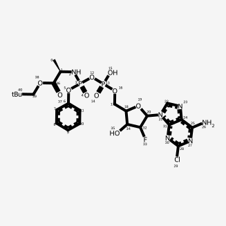 C[C@@H](NP(=O)(Oc1ccccc1)OP(=O)(O)OCC1OC(n2cnc3c(N)nc(Cl)nc32)C(F)C1O)C(=O)OCC(C)(C)C